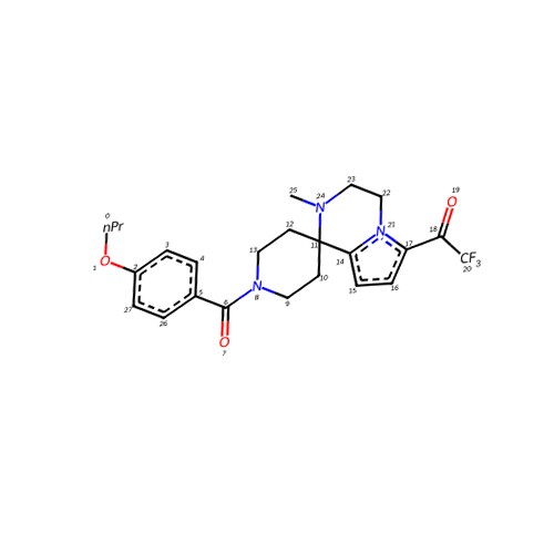 CCCOc1ccc(C(=O)N2CCC3(CC2)c2ccc(C(=O)C(F)(F)F)n2CCN3C)cc1